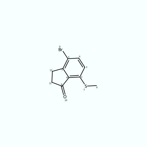 CSc1ccc(Br)c2c1C(=O)CC2